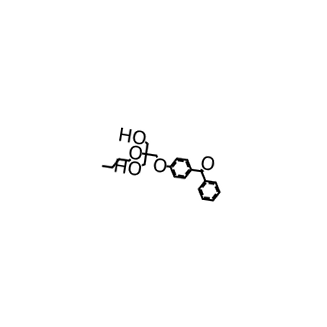 CCCCOC(CO)(CO)COc1ccc(C(=O)c2ccccc2)cc1